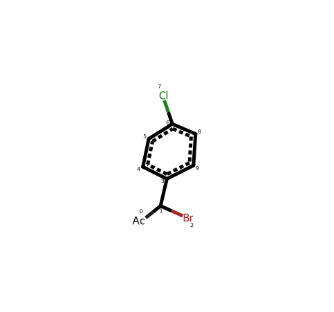 CC(=O)C(Br)c1ccc(Cl)cc1